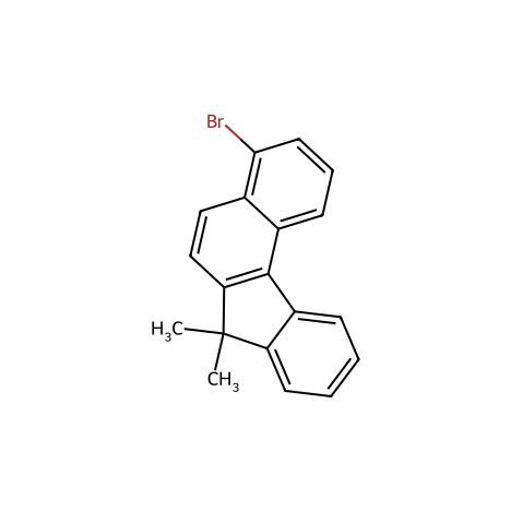 CC1(C)c2ccccc2-c2c1ccc1c(Br)cccc21